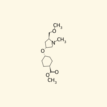 COC[C@@H]1C[C@@H](O[C@H]2CC[C@H](C(=O)OC)CC2)CN1C